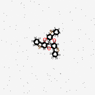 c1ccc2c(c1)sc1cc3c4c(c12)Oc1cc2sc5ccccc5c2c2c1B4c1c(cc4sc5ccccc5c4c1O3)O2